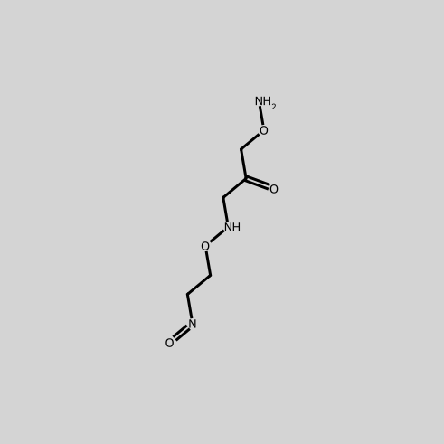 NOCC(=O)CNOCCN=O